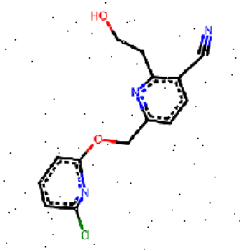 N#Cc1ccc(COc2cccc(Cl)n2)nc1CCO